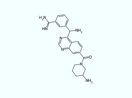 N=C(N)c1cccc(C(N)c2ncnc3cc(C(=O)N4CCCC(N)C4)ccc23)c1